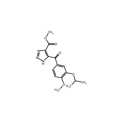 COC(=O)c1nn[nH]c1C(=O)c1ccc(OC)c(OC(C)C)c1